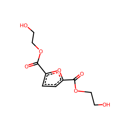 O=C(OCCO)c1ccc(C(=O)OCCO)o1